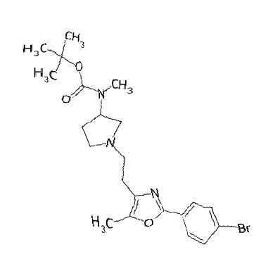 Cc1oc(-c2ccc(Br)cc2)nc1CCN1CCC(N(C)C(=O)OC(C)(C)C)C1